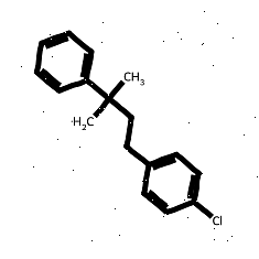 [CH2]C(C)(CCc1ccc(Cl)cc1)c1ccccc1